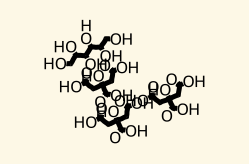 O=C(O)CC(O)(CC(=O)O)C(=O)O.O=C(O)CC(O)(CC(=O)O)C(=O)O.O=C(O)CC(O)(CC(=O)O)C(=O)O.OCC(O)C(O)C(O)C(O)CO